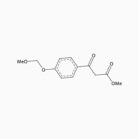 COCOc1ccc(C(=O)CC(=O)OC)cc1